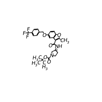 Cc1oc2ccc(OCc3ccc(C(F)(F)F)cc3)cc2c1C(=O)N[C@H]1CCN(C(=O)OC(C)(C)C)C1